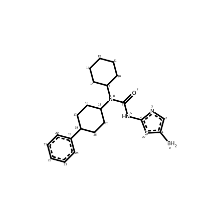 Bc1cnc(NC(=O)N(C2CCCCC2)C2CCC(c3ccccc3)CC2)s1